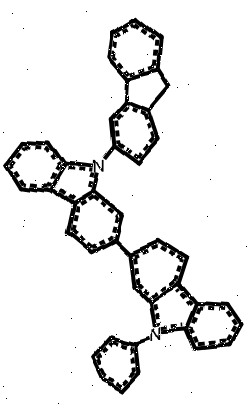 c1ccc(-n2c3ccccc3c3ccc(-c4ccc5c6ccccc6n(-c6ccc7c(c6)-c6ccccc6C7)c5c4)cc32)cc1